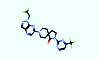 O=C1N(c2nccc(C(F)(F)F)n2)CCC12CCN(c1cnc3cnn(CC(F)F)c3n1)CC2